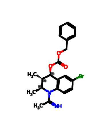 CC(=N)N1c2ccc(Br)cc2[C@H](OC(=O)OCc2ccccc2)[C@@H](C)[C@@H]1C